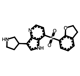 O=S(=O)(c1cccc2c1OCC2)c1ccnc2c(C3CCNC3)c[nH]c12